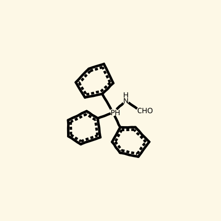 O=CN[PH](c1ccccc1)(c1ccccc1)c1ccccc1